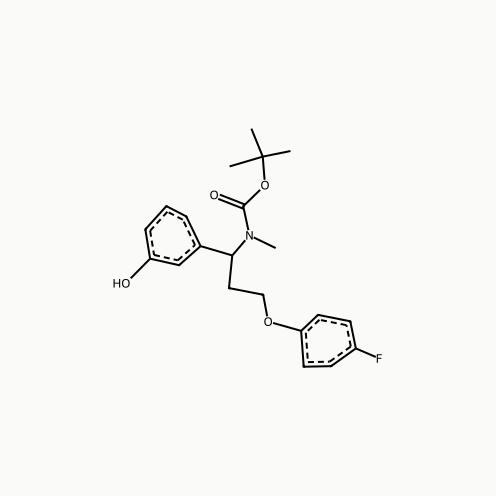 CN(C(=O)OC(C)(C)C)C(CCOc1ccc(F)cc1)c1cccc(O)c1